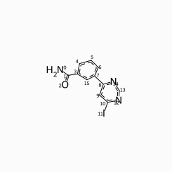 NC(=O)c1cccc(-c2cc(I)ncn2)c1